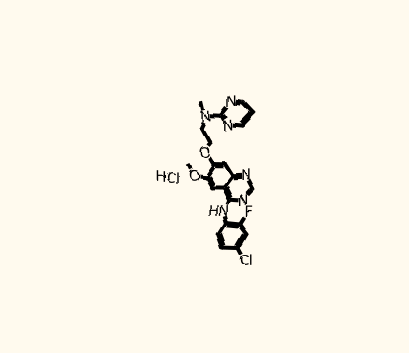 COc1cc2c(Nc3ccc(Cl)cc3F)ncnc2cc1OCCN(C)c1ncccn1.Cl